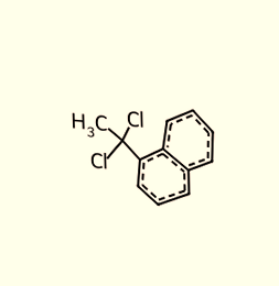 CC(Cl)(Cl)c1cccc2ccccc12